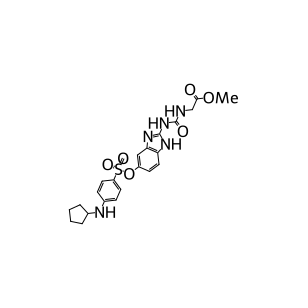 COC(=O)CNC(=O)Nc1nc2cc(OS(=O)(=O)c3ccc(NC4CCCC4)cc3)ccc2[nH]1